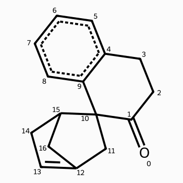 O=C1CCc2ccccc2C12CC1=CCC2C1